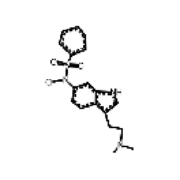 CN(C)CCc1c[nH]c2cc(N(Cl)S(=O)(=O)c3ccccc3)ccc12